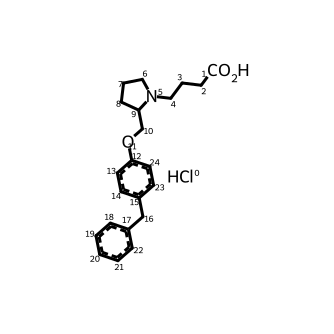 Cl.O=C(O)CCCN1CCCC1COc1ccc(Cc2ccccc2)cc1